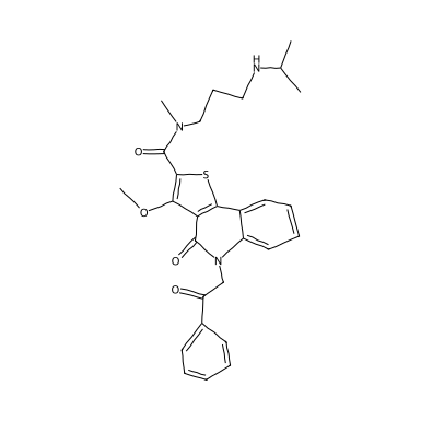 COc1c(C(=O)N(C)CCCNC(C)C)sc2c1c(=O)n(CC(=O)c1ccccc1)c1ccccc21